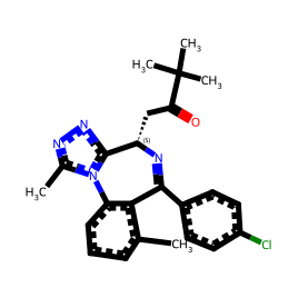 Cc1cccc2c1C(c1ccc(Cl)cc1)=N[C@@H](CC(=O)C(C)(C)C)c1nnc(C)n1-2